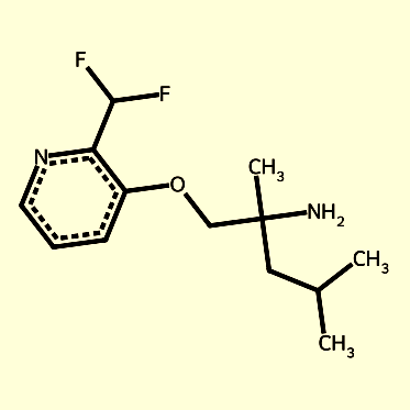 CC(C)CC(C)(N)COc1cccnc1C(F)F